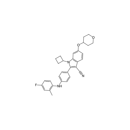 Cc1cc(F)ccc1Nc1ccc(-c2c(C#N)c3ccc(OC4CCOCC4)cc3n2C2CCC2)cc1